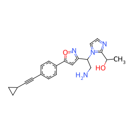 CC(O)c1nccn1C(CN)c1cc(-c2ccc(C#CC3CC3)cc2)on1